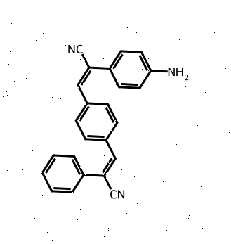 N#CC(=Cc1ccc(C=C(C#N)c2ccc(N)cc2)cc1)c1ccccc1